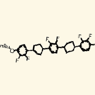 CCCCOc1ccc(C2=CCC(c3ccc(C4CCC(c5ccc(C)c(F)c5F)CC4)c(F)c3F)CC2)c(F)c1F